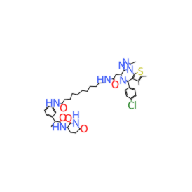 Cc1sc2c(c1C)C(c1ccc(Cl)cc1)=N[C@@H](CC(=O)NCCCCCCCCCCC(=O)Nc1cccc([C@H](C)C(=O)NC3CCC(=O)NC3=O)c1)c1nnc(C)n1-2